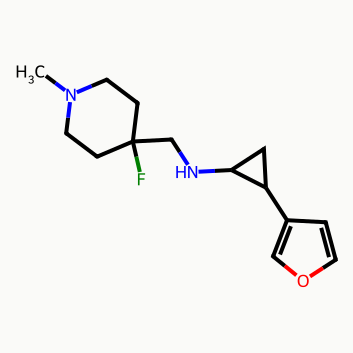 CN1CCC(F)(CNC2CC2c2ccoc2)CC1